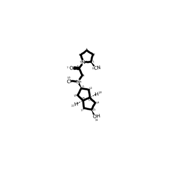 N#C[C@@H]1CCCN1C(=O)CN(Cl)[C@H]1C[C@H]2C[C@@H](O)C[C@H]2C1